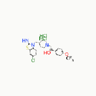 Cl.Cl.N=c1sc2cc(Cl)ccc2n1CC1CCN(C[C@@H](O)c2ccc(OC(F)(F)F)cc2)CC1